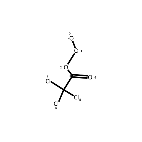 [O]OOC(=O)C(Cl)(Cl)Cl